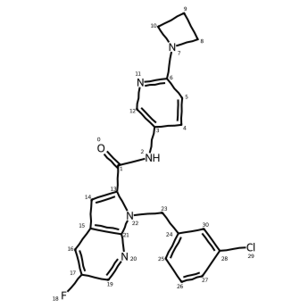 O=C(Nc1ccc(N2CCC2)nc1)c1cc2cc(F)cnc2n1Cc1cccc(Cl)c1